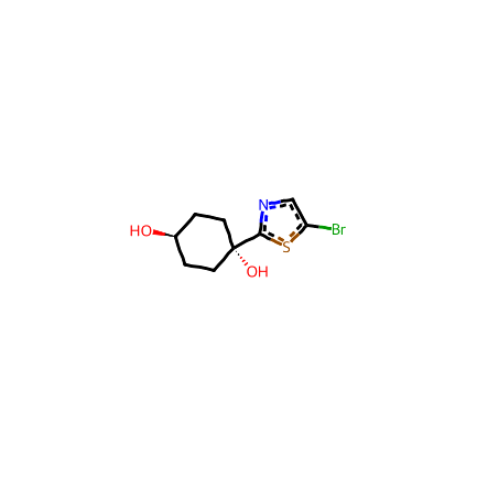 O[C@H]1CC[C@@](O)(c2ncc(Br)s2)CC1